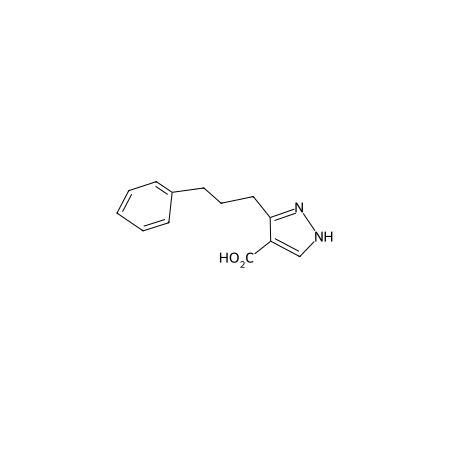 O=C(O)c1c[nH]nc1CCCc1ccccc1